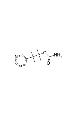 CC(C)(OC(N)=O)C(C)(C)c1cccnc1